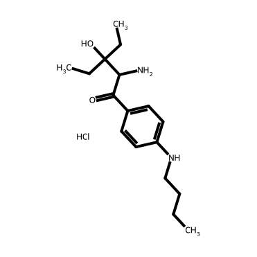 CCCCNc1ccc(C(=O)C(N)C(O)(CC)CC)cc1.Cl